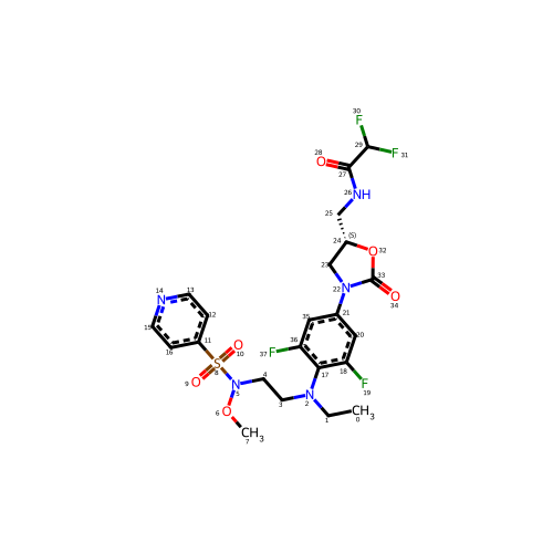 CCN(CCN(OC)S(=O)(=O)c1ccncc1)c1c(F)cc(N2C[C@H](CNC(=O)C(F)F)OC2=O)cc1F